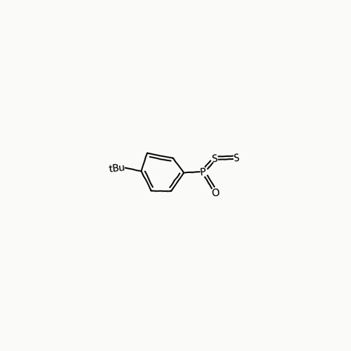 CC(C)(C)c1ccc(P(=O)=S=S)cc1